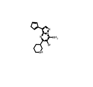 Nc1c(Br)c(C2CCCNC2)nc2c(C3=CCC=C3)cnn12